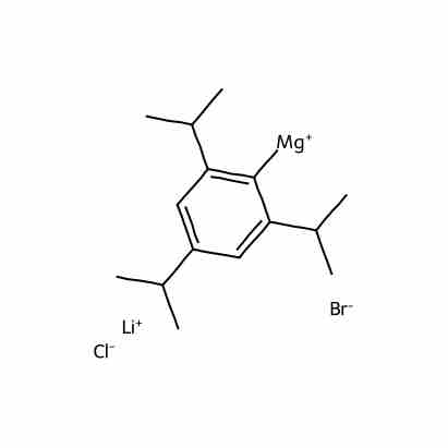 CC(C)c1cc(C(C)C)[c]([Mg+])c(C(C)C)c1.[Br-].[Cl-].[Li+]